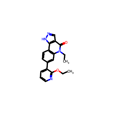 CCOc1ncccc1-c1ccc2c3[nH]ncc3c(=O)n(CC)c2c1